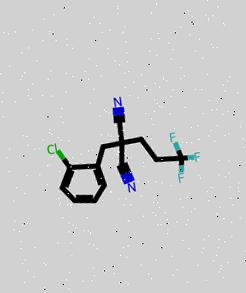 N#CC(C#N)(CCC(F)(F)F)Cc1ccccc1Cl